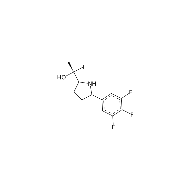 C[C@@](O)(I)C1CCC(c2cc(F)c(F)c(F)c2)N1